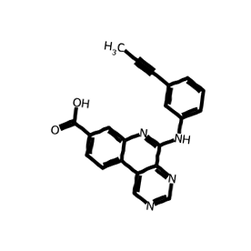 CC#Cc1cccc(Nc2nc3cc(C(=O)O)ccc3c3cncnc23)c1